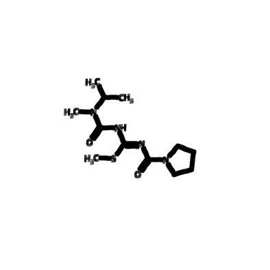 CSC(=NC(=O)N1CCCC1)NC(=O)N(C)C(C)C